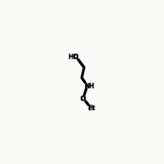 [CH2]CONCCO